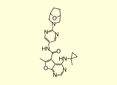 Cc1oc2ncnc(NC3(C)CC3)c2c1C(=O)Nc1cnc(N2CC3CCC(C2)O3)nc1